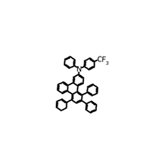 FC(F)(F)c1ccc(N(c2ccccc2)c2ccc3c(c2)c2ccccc2c2c(C4=CC=CCC4)cc(-c4ccccc4)c(-c4ccccc4)c32)cc1